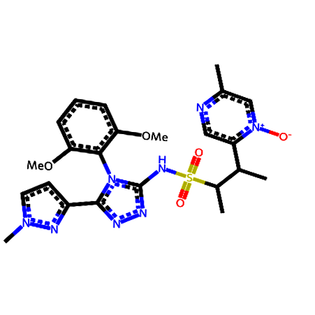 COc1cccc(OC)c1-n1c(NS(=O)(=O)C(C)C(C)c2cnc(C)c[n+]2[O-])nnc1-c1ccn(C)n1